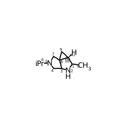 CC1NC2CN(C(C)C)CC23C[C@H]13